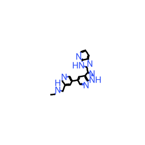 CCNCc1cncc(-c2cnc3[nH]nc(-c4nc5cccnc5[nH]4)c3c2)c1